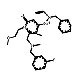 C=CN(Cc1ccccc1)Nc1cc(=O)n(CCOC)c(CN(C)Cc2cccc(F)c2)c1C